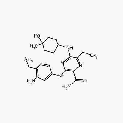 CCc1nc(C(N)=O)c(Nc2ccc(CN)c(N)c2)nc1NC1CCC(C)(O)CC1